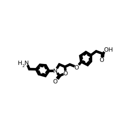 NCc1ccc(N2CC(COc3ccc(CC(=O)O)cc3)OC2=O)cc1